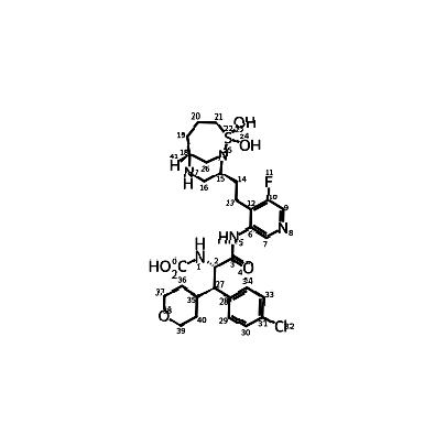 O=C(O)N[C@H](C(=O)Nc1cncc(F)c1CC[C@H]1CN[C@@H]2CCCS(O)(O)N1C2)[C@@H](c1ccc(Cl)cc1)C1CCOCC1